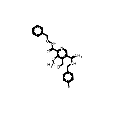 C=C(NCc1ccc(F)cc1)c1cnc(C(=O)NOCc2ccccc2)c(OC)c1CO